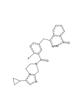 O=C(c1cc(Cc2n[nH]c(=O)c3ccccc23)ccc1F)N1CCn2c(C3CC3)cnc2C1